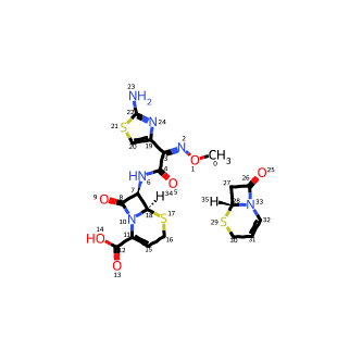 CO/N=C(\C(=O)N[C@@H]1C(=O)N2C(C(=O)O)=CCS[C@H]12)c1csc(N)n1.O=C1C[C@H]2SCC=CN12